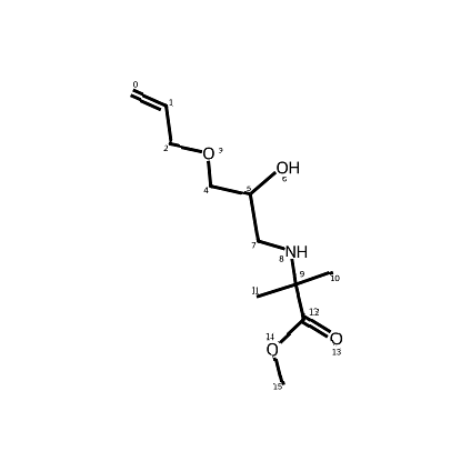 C=CCOCC(O)CNC(C)(C)C(=O)OC